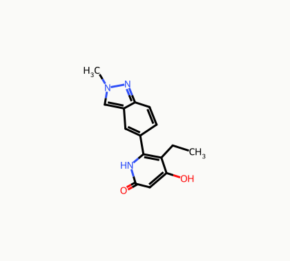 CCc1c(O)cc(=O)[nH]c1-c1ccc2nn(C)cc2c1